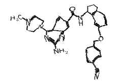 CN1CCN(c2nc(N)nc3cc(C(=O)NC4CCCc5ccc(OCc6ccc(C#N)cc6)cc54)ccc23)CC1